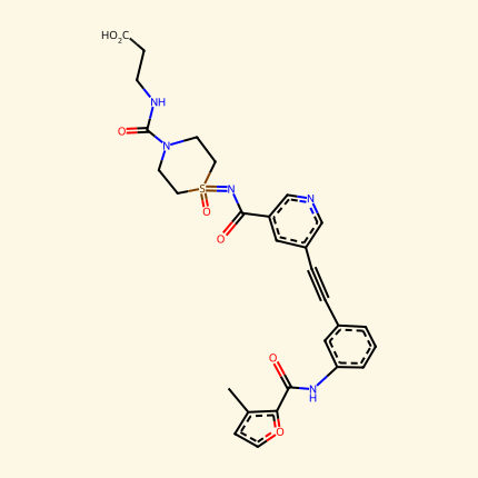 Cc1ccoc1C(=O)Nc1cccc(C#Cc2cncc(C(=O)N=S3(=O)CCN(C(=O)NCCC(=O)O)CC3)c2)c1